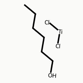 CCCCCCO.[Cl][Ti][Cl]